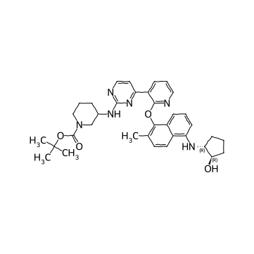 Cc1ccc2c(N[C@@H]3CCC[C@H]3O)cccc2c1Oc1ncccc1-c1ccnc(NC2CCCN(C(=O)OC(C)(C)C)C2)n1